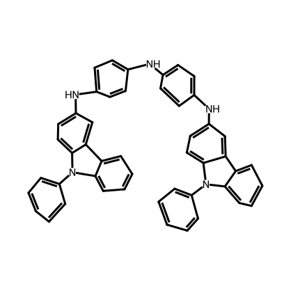 c1ccc(-n2c3ccccc3c3cc(Nc4ccc(Nc5ccc(Nc6ccc7c(c6)c6ccccc6n7-c6ccccc6)cc5)cc4)ccc32)cc1